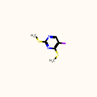 CSc1ncc(I)c(SC)n1